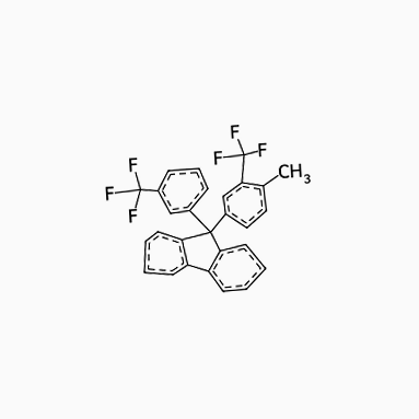 Cc1ccc(C2(c3cccc(C(F)(F)F)c3)c3ccccc3-c3ccccc32)cc1C(F)(F)F